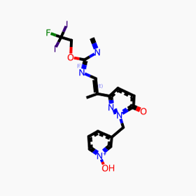 C=N/C(=N\C=C(/C)c1ccc(=O)n(Cc2ccc[n+](O)c2)n1)OCC(F)(I)I